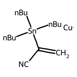 C=[C](C#N)[Sn]([CH2]CCC)([CH2]CCC)[CH2]CCC.[Cu]